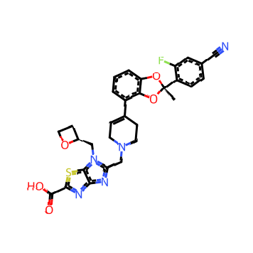 C[C@]1(c2ccc(C#N)cc2F)Oc2cccc(C3=CCN(Cc4nc5nc(C(=O)O)sc5n4C[C@@H]4CCO4)CC3)c2O1